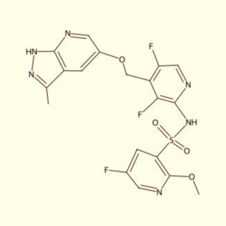 COc1ncc(F)cc1S(=O)(=O)Nc1ncc(F)c(COc2cnc3[nH]nc(C)c3c2)c1F